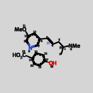 CN[C@@H](C)C/C=C/c1cncc(OC)c1.O=C(O)c1ccc(O)cc1